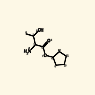 CC(O)C(N)C(=O)OC1CCCC1